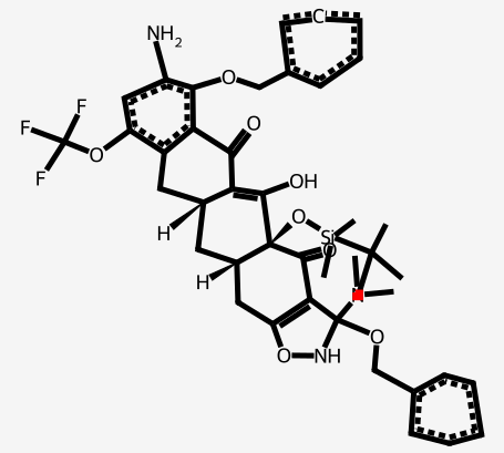 CN(C)C1(OCc2ccccc2)NOC2=C1C(=O)[C@@]1(O[Si](C)(C)C(C)(C)C)C(O)=C3C(=O)c4c(c(OC(F)(F)F)cc(N)c4OCc4ccccc4)C[C@H]3C[C@H]1C2